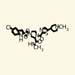 CNC(=O)C1CN(S(=O)(=O)c2cc3cc(Cl)ccc3[nH]2)CCN1C(=O)c1ncc(C2CCN(C)CC2)s1